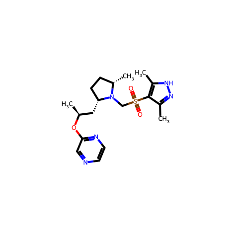 Cc1n[nH]c(C)c1S(=O)(=O)CN1[C@H](C[C@H](C)Oc2cnccn2)CC[C@@H]1C